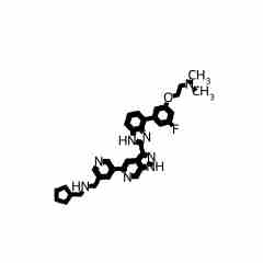 CN(C)CCOc1cc(F)cc(-c2cccc3[nH]c(-c4n[nH]c5cnc(-c6cncc(CNCC7CCCC7)c6)cc45)nc23)c1